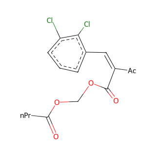 CCCC(=O)OCOC(=O)C(=Cc1cccc(Cl)c1Cl)C(C)=O